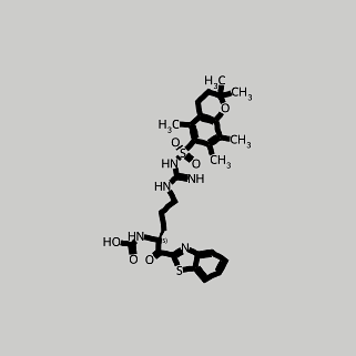 Cc1c(C)c(S(=O)(=O)NC(=N)NCCC[C@H](NC(=O)O)C(=O)c2nc3ccccc3s2)c(C)c2c1OC(C)(C)CC2